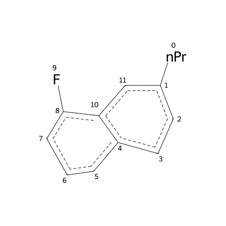 [CH2]CCc1ccc2cccc(F)c2c1